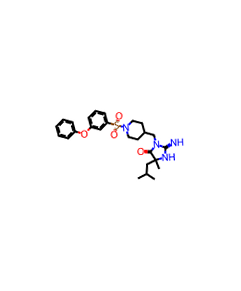 CC(C)CC1(C)NC(=N)N(CC2CCN(S(=O)(=O)c3cccc(Oc4ccccc4)c3)CC2)C1=O